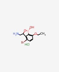 CCOc1ccc(Br)c2c1B(O)OC2CN.Cl